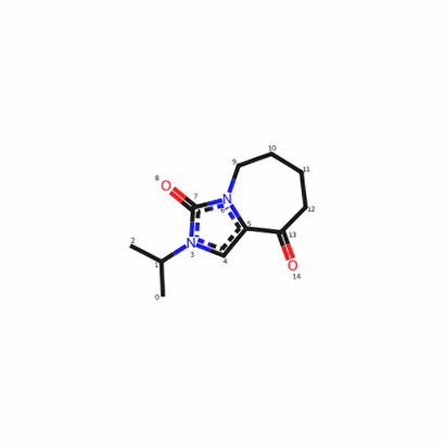 CC(C)n1cc2n(c1=O)CCCCC2=O